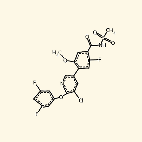 COc1cc(C(=O)NS(C)(=O)=O)c(F)cc1-c1cnc(Oc2cc(F)cc(F)c2)c(Cl)c1